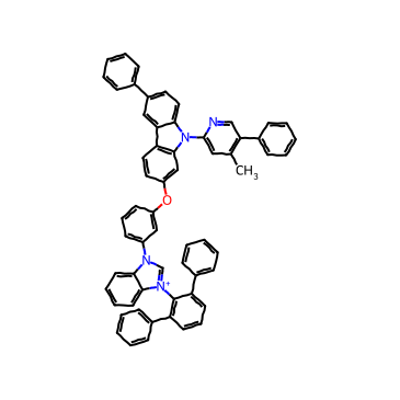 Cc1cc(-n2c3ccc(-c4ccccc4)cc3c3ccc(Oc4cccc(-n5c[n+](-c6c(-c7ccccc7)cccc6-c6ccccc6)c6ccccc65)c4)cc32)ncc1-c1ccccc1